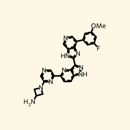 COc1cc(F)cc(-c2cncc3[nH]c(-c4n[nH]c5ccc(-c6cncc(N7CC(N)C7)n6)nc45)nc23)c1